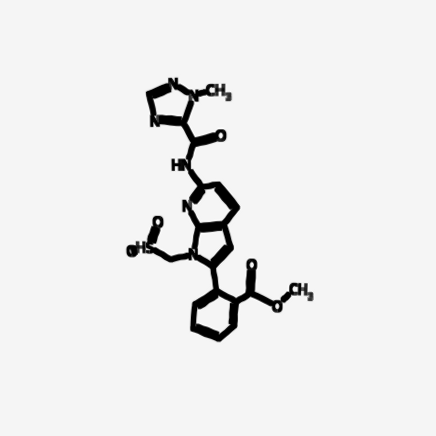 COC(=O)c1ccccc1-c1cc2ccc(NC(=O)c3ncnn3C)nc2n1C[SH](=O)=O